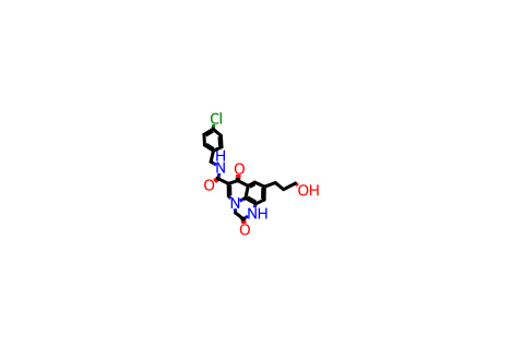 O=C1Cn2cc(C(=O)NCc3ccc(Cl)cc3)c(=O)c3cc(CCCO)cc(c32)N1